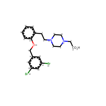 O=C(O)CN1CCN(CCc2ccccc2OCc2cc(Br)cc(Br)c2)CC1